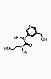 [CH2]CCN(C(=O)N(CCO)C(C)C)c1cncc(CO)c1